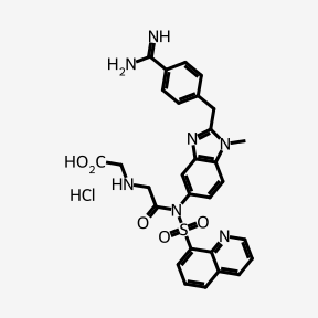 Cl.Cn1c(Cc2ccc(C(=N)N)cc2)nc2cc(N(C(=O)CNCC(=O)O)S(=O)(=O)c3cccc4cccnc34)ccc21